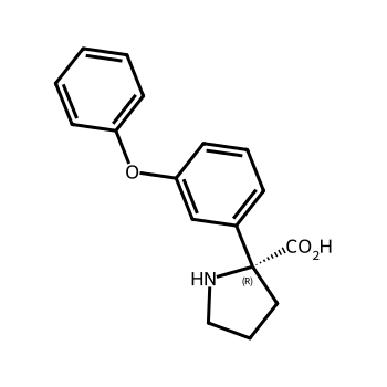 O=C(O)[C@]1(c2cccc(Oc3ccccc3)c2)CCCN1